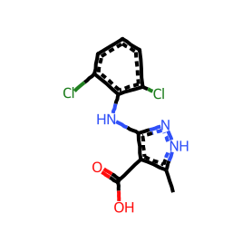 Cc1[nH]nc(Nc2c(Cl)cccc2Cl)c1C(=O)O